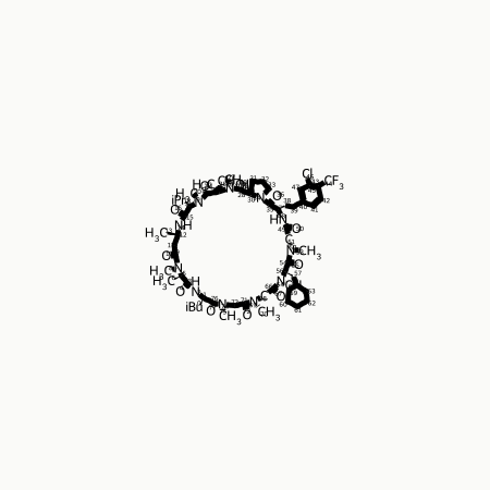 CCC(C)[C@@H]1NC(=O)[C@H](C)N(C)C(=O)C[C@@H](C)NC(=O)[C@H](C(C)C)N(C)C(=O)C(C)(C)N(C)C(=O)[C@@H]2CCCN2C(=O)[C@H](CCc2ccc(C(F)(F)F)c(Cl)c2)NC(=O)CN(C)C(=O)[C@H](CC2CCCCC2)N(C)C(=O)CN(C)C(=O)CN(C)C1=O